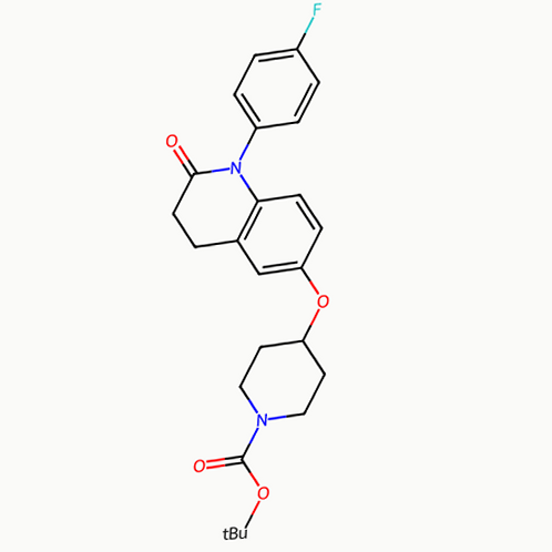 CC(C)(C)OC(=O)N1CCC(Oc2ccc3c(c2)CCC(=O)N3c2ccc(F)cc2)CC1